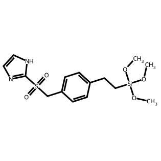 CO[Si](CCc1ccc(CS(=O)(=O)c2ncc[nH]2)cc1)(OC)OC